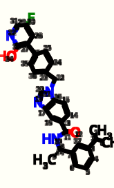 CC(C)c1cccc([C@H](C)NC(=O)c2ccc3c(c2)ncn3Cc2ccc(-c3cc(F)cnc3O)cc2)c1